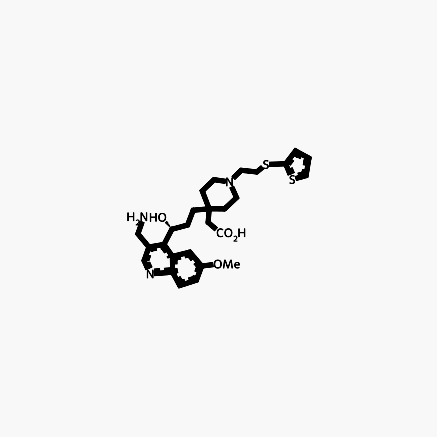 COc1ccc2ncc(CN)c([C@H](O)CCC3(CC(=O)O)CCN(CCSc4cccs4)CC3)c2c1